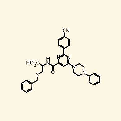 N#Cc1ccc(-c2nc(C(=O)NC(CSCc3ccccc3)C(=O)O)cc(N3CCN(c4ccccc4)CC3)n2)cc1